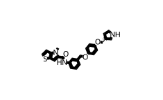 Cn1c(C(=O)Nc2cccc(COc3ccc(OC[C@@H]4CCNC4)cc3)c2)cc2sccc21